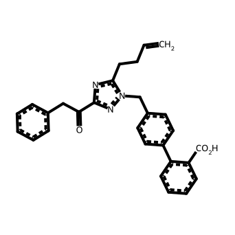 C=CCCc1nc(C(=O)Cc2ccccc2)nn1Cc1ccc(-c2ccccc2C(=O)O)cc1